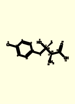 C[C@@](O)(Cc1ccc(Cl)cc1)[C@H](N)C(=O)O